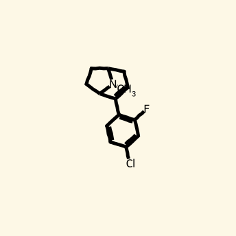 CN1C2CC=C(c3ccc(Cl)cc3F)C1CC2